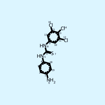 Nc1ccc(NC(=S)Nc2cc(Cl)c(Cl)c(Cl)c2)cc1